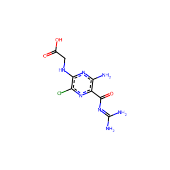 NC(N)=NC(=O)c1nc(Cl)c(NCC(=O)O)nc1N